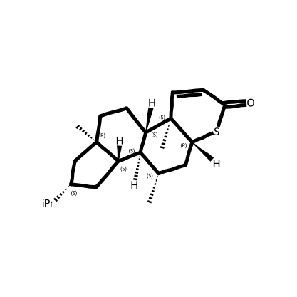 CC(C)[C@H]1C[C@H]2[C@@H]3[C@@H](C)C[C@H]4SC(=O)C=C[C@]4(C)[C@H]3CC[C@]2(C)C1